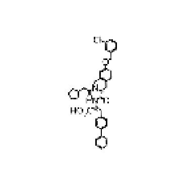 O=C(O)[C@H](Cc1ccc(-c2ccccc2)cc1)NC(=O)[C@@H]1Cc2ccc(OCc3cccc(Cl)c3)cc2CN1C(=O)CC1CCCC1